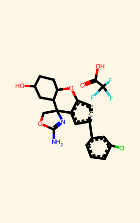 NC1=NC2(CO1)c1cc(-c3cccc(Cl)c3)ccc1OC1CCC(O)CC12.O=C(O)C(F)(F)F